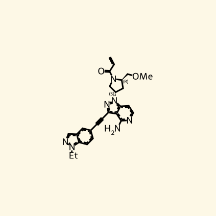 C=CC(=O)N1C[C@@H](n2nc(C#Cc3ccc4c(cnn4CC)c3)c3c(N)nccc32)C[C@@H]1COC